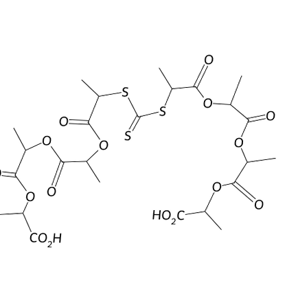 CC(OC(=O)C(C)OC(=O)C(C)OC(=O)C(C)SC(=S)SC(C)C(=O)OC(C)C(=O)OC(C)C(=O)OC(C)C(=O)O)C(=O)O